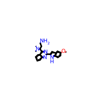 COc1ccc2[nH]c(-c3nc(C(CCN)N(C)C)c4ccccc4n3)cc2c1